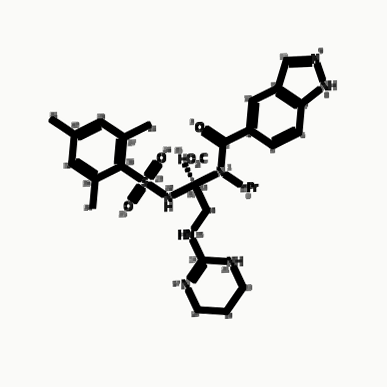 CCCN(C(=O)c1ccc2[nH]ncc2c1)[C@@](CNC1=NCCCN1)(NS(=O)(=O)c1c(C)cc(C)cc1C)C(=O)O